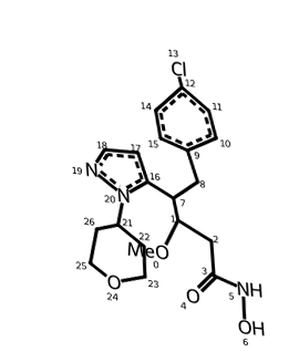 COC(CC(=O)NO)C(Cc1ccc(Cl)cc1)c1ccnn1C1CCOCC1